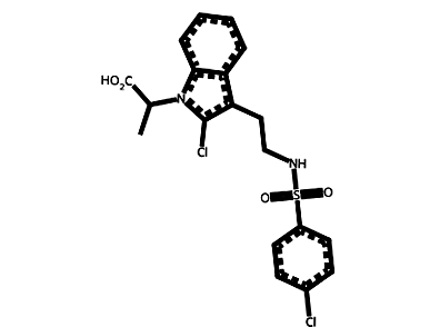 CC(C(=O)O)n1c(Cl)c(CCNS(=O)(=O)c2ccc(Cl)cc2)c2ccccc21